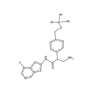 CC(C)[Si](OCc1ccc(C(CN)C(=O)Nc2cc3c(F)cncc3s2)cc1)(C(C)C)C(C)C